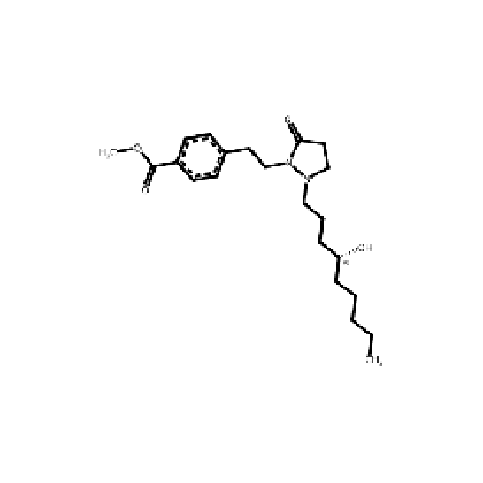 CCCCC[C@@H](O)CCCN1CCC(=O)N1CCc1ccc(C(=O)OC)cc1